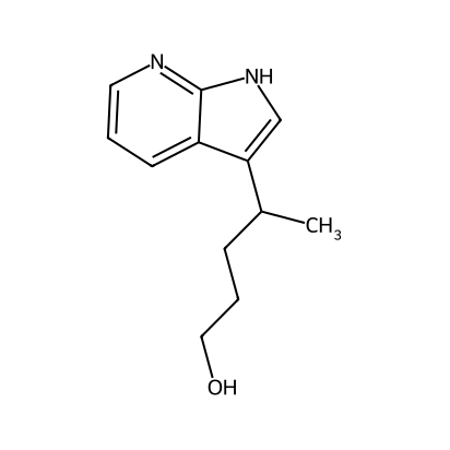 CC(CCCO)c1c[nH]c2ncccc12